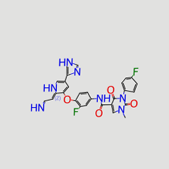 Cn1cc(C(=O)Nc2ccc(OC3=CC(c4c[nH]cn4)=CN/C3=C\C=N)c(F)c2)c(=O)n(-c2ccc(F)cc2)c1=O